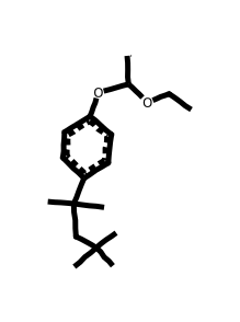 [CH2]C(OCC)Oc1ccc(C(C)(C)CC(C)(C)C)cc1